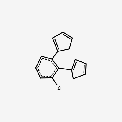 [Zr][c]1cccc(C2=CC=CC2)c1C1=CC=CC1